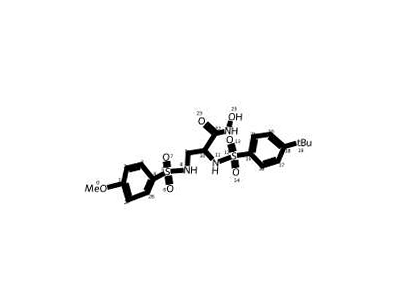 COc1ccc(S(=O)(=O)NCC(NS(=O)(=O)c2ccc(C(C)(C)C)cc2)C(=O)NO)cc1